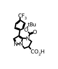 CC(C)(C)OC(=O)N1CC(C(=O)O)Cn2ncc(-c3ccc(C(F)(F)F)cc3)c21